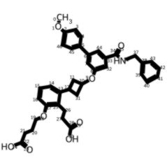 COc1ccc(-c2cc(OC3CC(c4cccc(OCCCC(=O)O)c4CCC(=O)O)C3)cc(C(=O)NCc3ccccc3)c2)cc1